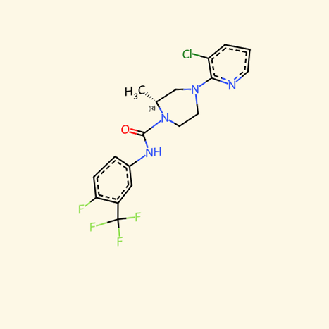 C[C@@H]1CN(c2ncccc2Cl)CCN1C(=O)Nc1ccc(F)c(C(F)(F)F)c1